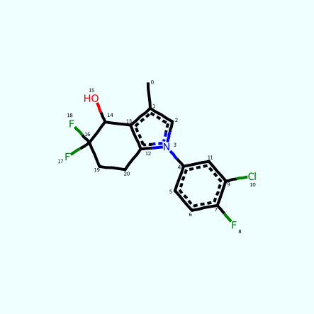 Cc1cn(-c2ccc(F)c(Cl)c2)c2c1C(O)C(F)(F)CC2